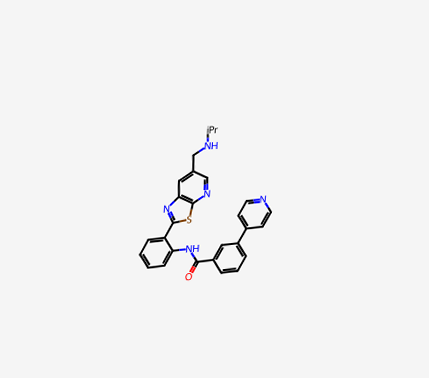 CC(C)NCc1cnc2sc(-c3ccccc3NC(=O)c3cccc(-c4ccncc4)c3)nc2c1